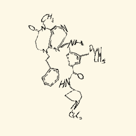 COc1cc(C(=O)NC2CCN(C)CC2)ccc1Nc1ncc2c(n1)N(CCc1ccccc1)CCC(=O)N2C